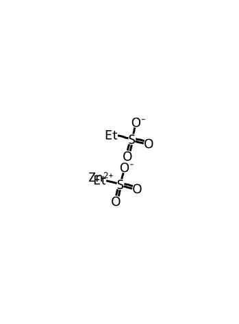 [CH2]CS(=O)(=O)[O-].[CH2]CS(=O)(=O)[O-].[Zn+2]